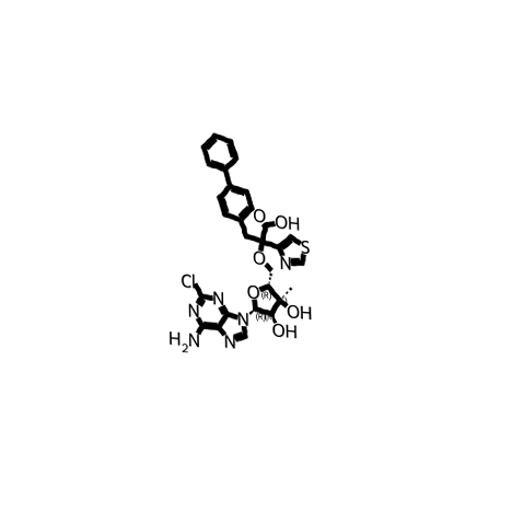 C[C@@]1(O)[C@@H](COC(Cc2ccc(-c3ccccc3)cc2)(C(=O)O)c2cscn2)O[C@@H](n2cnc3c(N)nc(Cl)nc32)[C@@H]1O